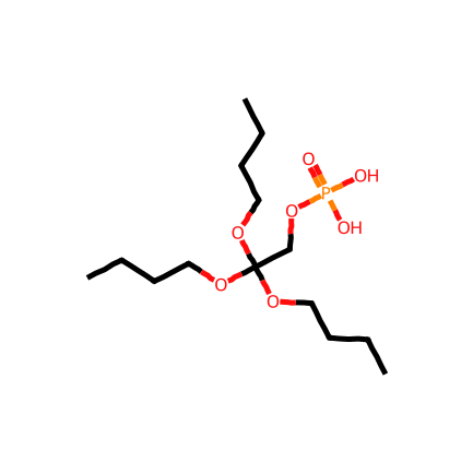 CCCCOC(COP(=O)(O)O)(OCCCC)OCCCC